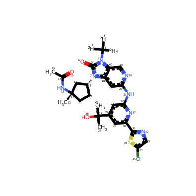 [2H]C([2H])([2H])n1c(=O)n([C@@H]2CC[C@](C)(NC(C)=O)C2)c2cc(Nc3cc(C(C)(C)O)cc(-c4ncc(Cl)s4)n3)ncc21